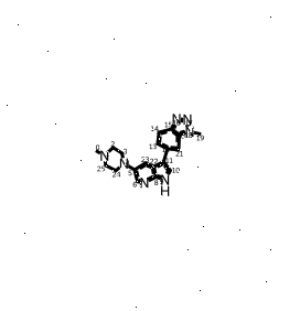 CN1CCN(c2cnc3[nH]cc(-c4ccc5nnn(C)c5c4)c3c2)CC1